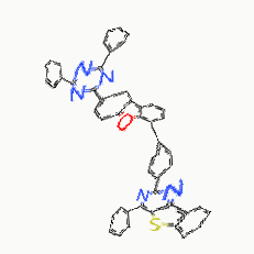 c1ccc(-c2nc(-c3ccccc3)nc(-c3ccc4oc5c(-c6ccc(-c7nc(-c8ccccc8)c8sc9ccccc9c8n7)cc6)cccc5c4c3)n2)cc1